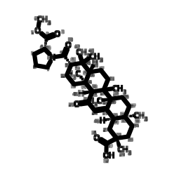 COC(=O)[C@H]1CCCN1C(=O)[C@H]1CC[C@@]2(C)[C@@H](CCC3(C)[C@@H]2C(=O)C=C2[C@@H]4C[C@@](C)(C(=O)O)CC[C@]4(C)CC[C@]23C)C1(C)C